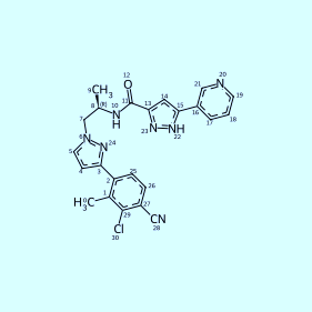 Cc1c(-c2ccn(C[C@@H](C)NC(=O)c3cc(-c4cccnc4)[nH]n3)n2)ccc(C#N)c1Cl